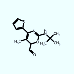 CC1=C(c2cccs2)N=C(NC(C)(C)C)OC1C=O